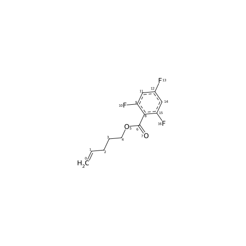 C=CCCCOC(=O)c1c(F)cc(F)cc1F